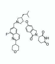 CC(C)C[C@@H]1CN(Cc2cc(F)c3nc(C4CCOCC4)ccc3c2)C[C@H]1Oc1ccc2c(c1)CN([C@H]1CCC(=O)NC1=O)C2=O